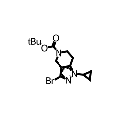 CC(C)(C)OC(=O)N1CCc2c(c(Br)nn2C2CC2)C1